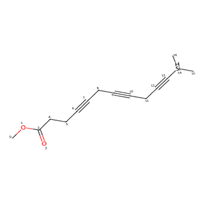 COC(=O)CCC#CCC#CCC#C[SiH](C)C